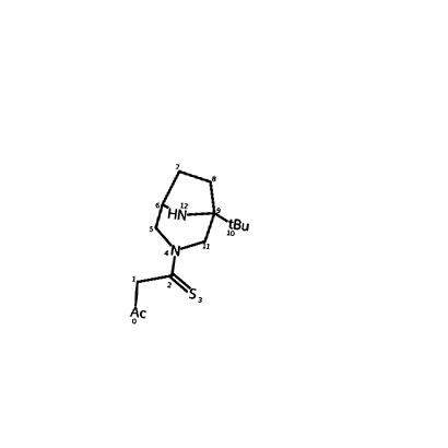 CC(=O)CC(=S)N1CC2CCC(C(C)(C)C)(C1)N2